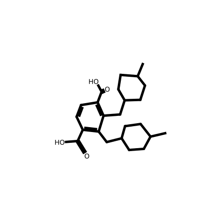 CC1CCC(Cc2c(C(=O)O)ccc(C(=O)O)c2CC2CCC(C)CC2)CC1